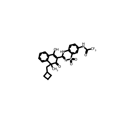 CC1(CC2CCC2)C(=O)C(C2=NS(=O)(=O)c3cc(NC(=O)C(F)(F)F)ccc3N2)=C(O)c2ccccc21